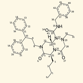 CCCC[C@H]1C(=O)N(CCC(c2ccccc2)c2ccccc2)C[C@H]2N1C(=O)CN(CC)N2C(=O)NCc1ccccc1